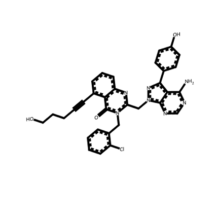 Nc1ncnc2c1c(-c1ccc(O)cc1)nn2Cc1nc2cccc(C#CCCCO)c2c(=O)n1Cc1ccccc1Cl